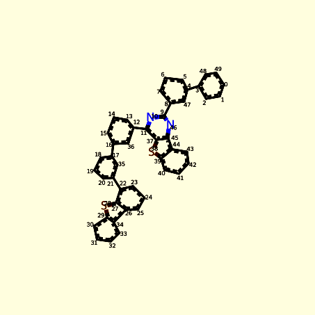 c1ccc(-c2cccc(-c3nc(-c4cccc(-c5cccc(-c6cccc7c6sc6ccccc67)c5)c4)c4sc5ccccc5c4n3)c2)cc1